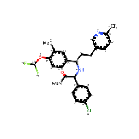 CNC(=O)C(N[C@H](CCc1ccc(C(F)(F)F)nc1)c1ccc(OC(F)F)c(OC)c1)c1ccc(Cl)cc1